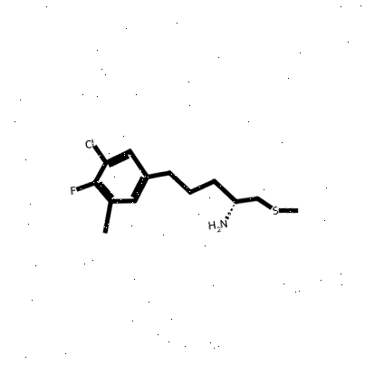 CSC[C@H](N)CCCc1cc(C)c(F)c(Cl)c1